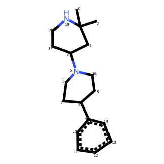 CC1(C)CC(N2CCC(c3ccccc3)CC2)CCN1